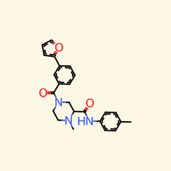 Cc1ccc(NC(=O)C2CN(C(=O)c3cccc(-c4ccco4)c3)CCN2C)cc1